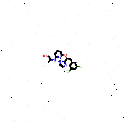 CC(CO)Nc1cccc(OC(Cc2cc(Cl)cc(Cl)c2)c2ncc[nH]2)n1